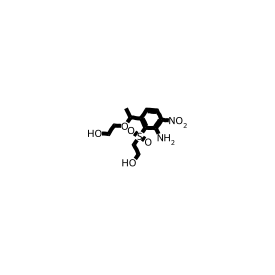 CC(OCCO)c1ccc([N+](=O)[O-])c(N)c1S(=O)(=O)CCO